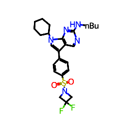 CCCCNc1ncc2c(-c3ccc(S(=O)(=O)N4CC(F)(F)C4)cc3)cn(C3CCCCC3)c2n1